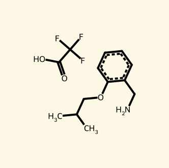 CC(C)COc1ccccc1CN.O=C(O)C(F)(F)F